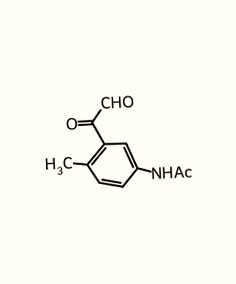 CC(=O)Nc1ccc(C)c(C(=O)C=O)c1